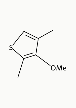 COc1c(C)csc1C